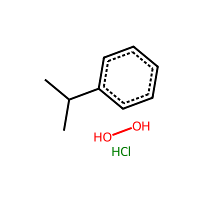 CC(C)c1ccccc1.Cl.OO